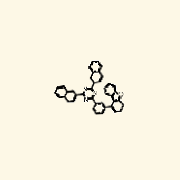 C1=CC2=CC(c3nc(-c4cccc(C5=CCCc6oc7ccccc7c65)c4)nc(C4C=Cc5ccccc5C4)n3)=CCC2C=C1